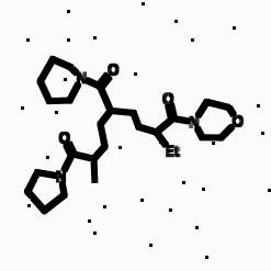 CCC(CCC(CCC(C)C(=O)N1CCCC1)C(=O)N1CCCCC1)C(=O)N1CCOCC1